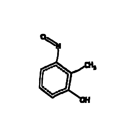 Cc1c(O)cccc1N=O